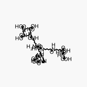 NC(CCCCNC(=O)CN1CCN(CC(=O)O)CCN(CC(=O)O)CCN(CC(=O)O)CC1)C(=O)NC(CCCCN(Cc1nccn1CC(=O)O)Cc1nccn1CC(=O)O)C(=O)NCCCCCC(=O)NCCCCC(NC(=O)NCC(=O)O)C(=O)O